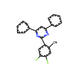 N#Cc1cc(F)c(F)cc1-c1nc(-c2ccccc2)cc(-c2ccccc2)n1